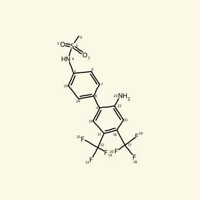 CS(=O)(=O)Nc1ccc(-c2cc(C(F)(F)F)c(C(F)(F)F)cc2N)cc1